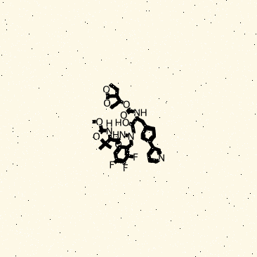 COC(=O)NC(C(=O)NN(Cc1ccc(F)c(F)c1F)CC(O)C(Cc1ccc(-c2cccnc2)cc1)NC(=O)OC1COC2OCCC12)C(C)(C)C